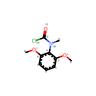 COc1cccc(OC)c1N(C)C(=O)Cl